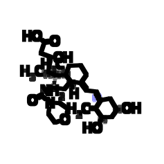 C=C1/C(=C\C=C2CCC[C@]3(C)[C@@H]([C@H](C)C(O)CC(=O)O)CC[C@@H]23)C[C@H](O)C[C@H]1O.NC(=O)N1CCOCC1